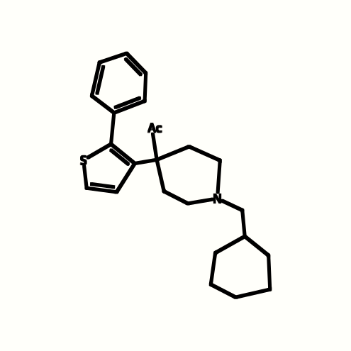 CC(=O)C1(c2ccsc2-c2ccccc2)CCN(CC2CCCCC2)CC1